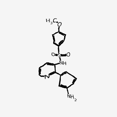 COc1ccc(S(=O)(=O)Nc2cccnc2-c2cccc(N)c2)cc1